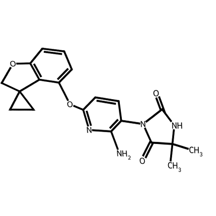 CC1(C)NC(=O)N(c2ccc(Oc3cccc4c3C3(CC3)CO4)nc2N)C1=O